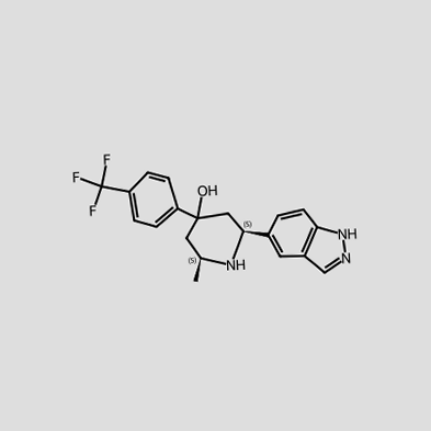 C[C@H]1CC(O)(c2ccc(C(F)(F)F)cc2)C[C@@H](c2ccc3[nH]ncc3c2)N1